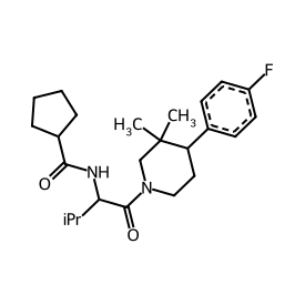 CC(C)C(NC(=O)C1CCCC1)C(=O)N1CCC(c2ccc(F)cc2)C(C)(C)C1